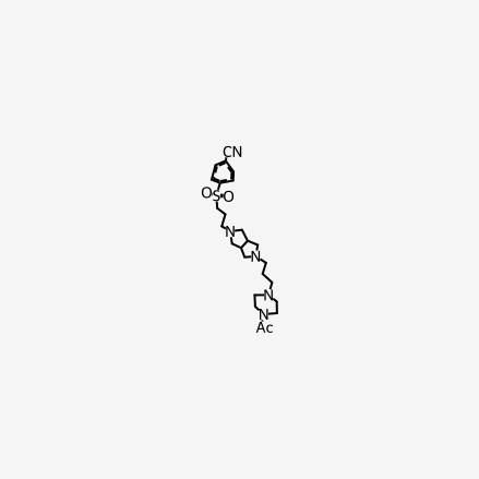 CC(=O)N1CCN(CCCN2CC3CN(CCCS(=O)(=O)c4ccc(C#N)cc4)CC3C2)CC1